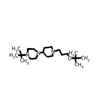 CC(C)(C)OCCCN1CCC(N2CCN(C(C)(C)C)CC2)CC1